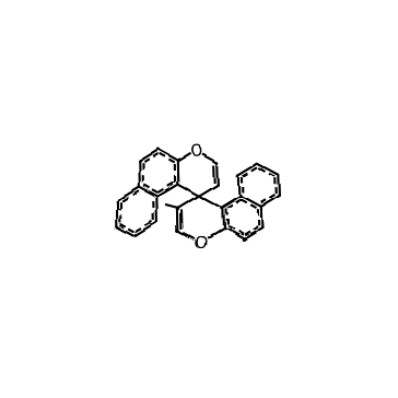 CC1=COc2ccc3ccccc3c2C12C=COc1ccc3ccccc3c12